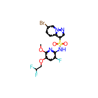 COc1nc(NS(=O)(=O)c2cnn3cc(Br)ccc23)c(F)cc1OCC(F)F